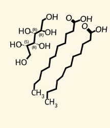 CCCCCCCCCCCC(=O)O.CCCCCCCCCCCC(=O)O.OC[C@@H](O)[C@@H](O)[C@H](O)[C@@H](O)CO